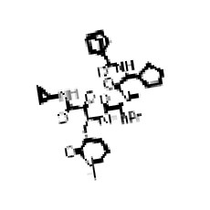 CCC[C@@H](C(=O)N[C@@H](C[C@@H]1CCCNC1=O)C(=O)C(=O)NC1CC1)N(C)C(=O)[C@H](NC(=O)C12CCC(C1)C2)C1CCCC1